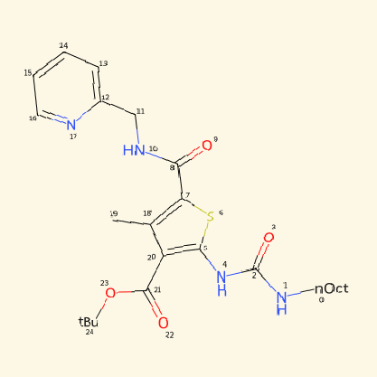 CCCCCCCCNC(=O)Nc1sc(C(=O)NCc2ccccn2)c(C)c1C(=O)OC(C)(C)C